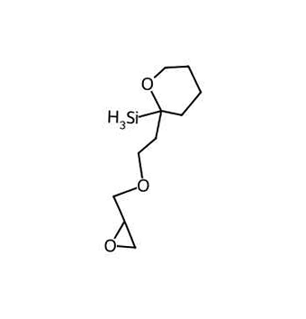 [SiH3]C1(CCOCC2CO2)CCCCO1